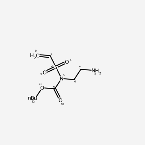 C=CS(=O)(=O)N(CCN)C(=O)OCCCC